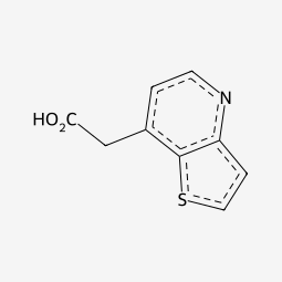 O=C(O)Cc1ccnc2ccsc12